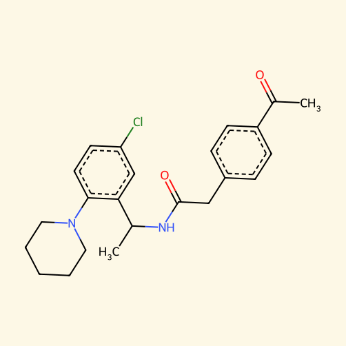 CC(=O)c1ccc(CC(=O)NC(C)c2cc(Cl)ccc2N2CCCCC2)cc1